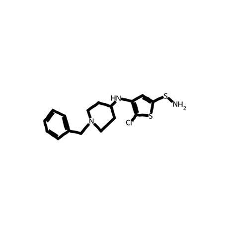 NSc1cc(NC2CCN(Cc3ccccc3)CC2)c(Cl)s1